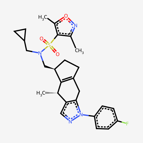 Cc1noc(C)c1S(=O)(=O)N(CC1CC1)C[C@H]1CCC2=C1[C@@H](C)c1cnn(-c3ccc(F)cc3)c1C2